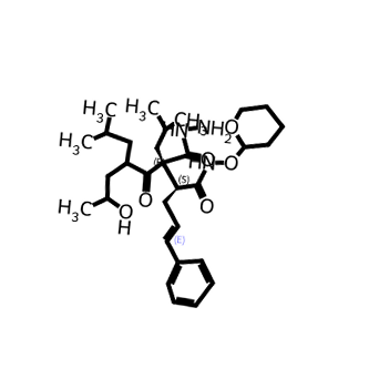 CC(C)CC(CC(C)O)C(=O)[C@](CC(C)C)(C(=O)NN)[C@H](C/C=C/c1ccccc1)C(=O)NOC1CCCCO1